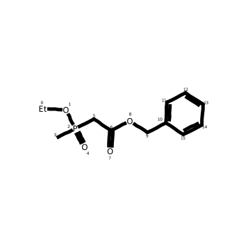 CCOP(C)(=O)CC(=O)OCc1ccccc1